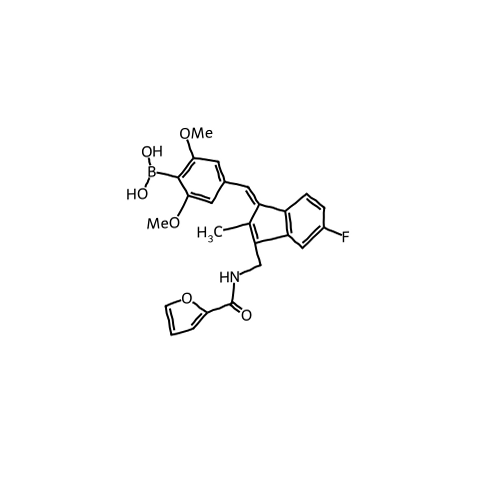 COc1cc(C=C2C(C)=C(CNC(=O)c3ccco3)c3cc(F)ccc32)cc(OC)c1B(O)O